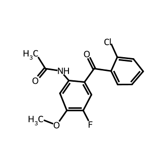 COc1cc(NC(C)=O)c(C(=O)c2ccccc2Cl)cc1F